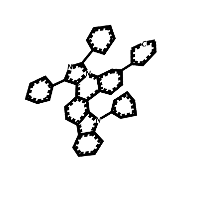 c1ccc(-c2ccc3c4c(ccc5c6ccccc6n(-c6ccccc6)c54)c4c(-c5ccccc5)nc(-c5ccccc5)n4c3c2)cc1